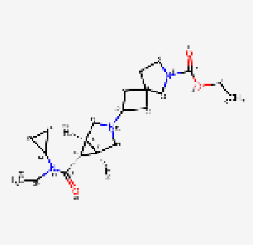 CCOC(=O)N1CCC2(CC(N3C[C@@H]4[C@H](C3)[C@H]4C(=O)N(CC)C3CC3)C2)C1